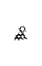 Cc1cc(N2CCCCCC2)c2ccc(I)cc2n1